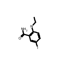 CC[N]c1ccc(I)cc1C(N)=O